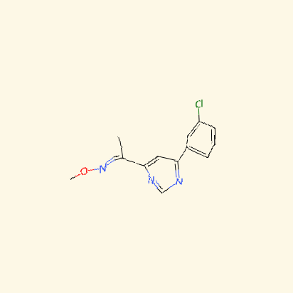 CON=C(C)c1cc(-c2cccc(Cl)c2)ncn1